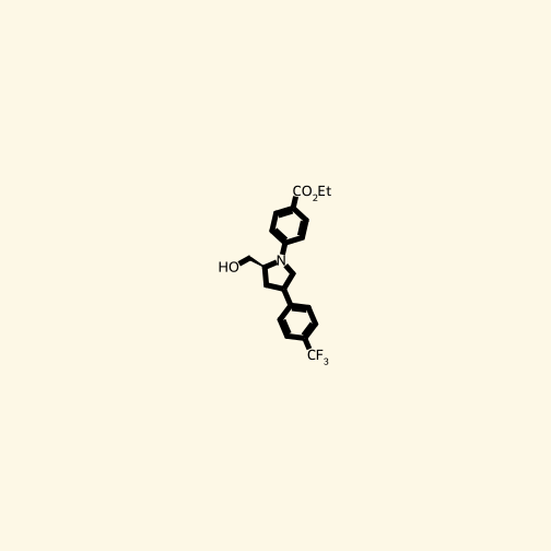 CCOC(=O)c1ccc(N2CC(c3ccc(C(F)(F)F)cc3)C[C@H]2CO)cc1